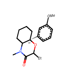 CCC1O[C@]2(c3cccc(OC)c3)CCCCC2N(C)C1=O